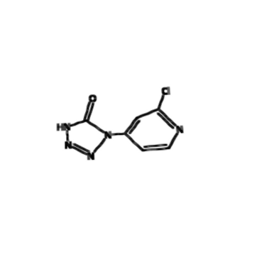 O=c1[nH]nnn1-c1ccnc(Cl)c1